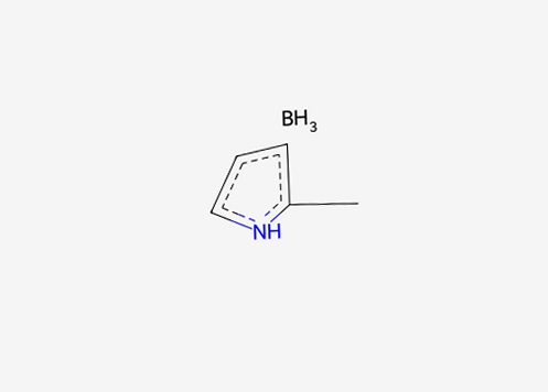 B.Cc1ccc[nH]1